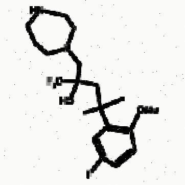 COc1ccc(F)cc1C(C)(C)CC(O)(CN1CCCNCC1)C(F)(F)F